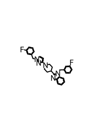 Fc1cccc(Cn2ccc(N3CCC(c4nc5ccccc5n4Cc4cccc(F)c4)CC3)n2)c1